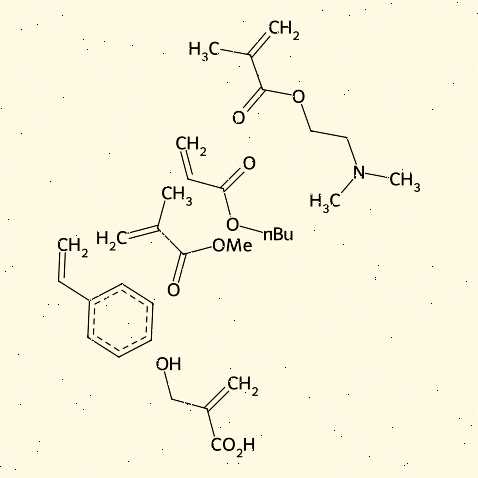 C=C(C)C(=O)OC.C=C(C)C(=O)OCCN(C)C.C=C(CO)C(=O)O.C=CC(=O)OCCCC.C=Cc1ccccc1